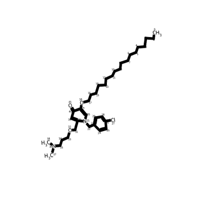 CCCCCCCCCCCCCCCCCCOc1cn(Cc2ccc(Cl)cc2)c(COCCCN(C)C)cc1=O